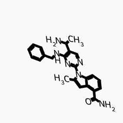 Cc1cc2c(C(N)=O)cccc2n1-c1ncc(C(C)N)c(NCc2ccccc2)n1